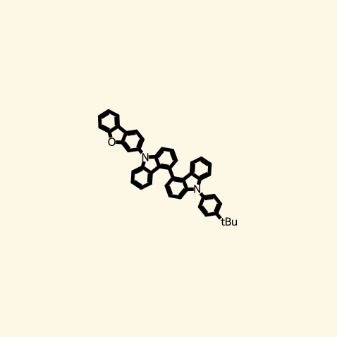 CC(C)(C)c1ccc(-n2c3ccccc3c3c(-c4cccc5c4c4ccccc4n5-c4ccc5c(c4)oc4ccccc45)cccc32)cc1